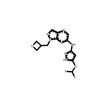 FC(F)Oc1cc(Nc2cnc3cnn(CC4COC4)c3n2)n[nH]1